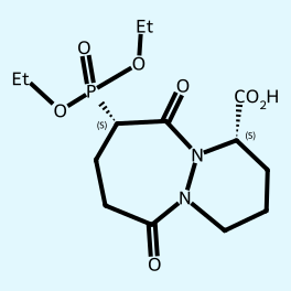 CCOP(=O)(OCC)[C@H]1CCC(=O)N2CCC[C@@H](C(=O)O)N2C1=O